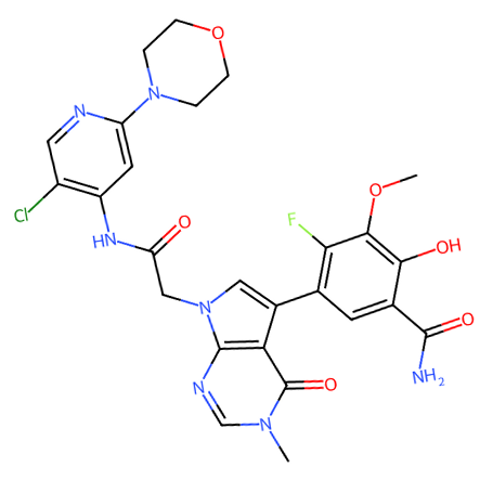 COc1c(O)c(C(N)=O)cc(-c2cn(CC(=O)Nc3cc(N4CCOCC4)ncc3Cl)c3ncn(C)c(=O)c23)c1F